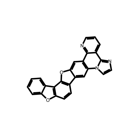 c1ccc2c(c1)oc1ccc3c4cc5c(cc4oc3c12)c1ncccc1c1nccn51